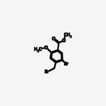 COC(=O)c1cc(Br)c(CBr)cc1OC